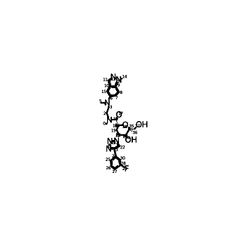 CN(CCN(C)c1ccc2c(cnn2C)c1)C(=O)[C@H]1C[C@@H](n2cc(-c3cccc(F)c3)nn2)[C@@H](O)[C@@H](CO)O1